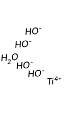 O.[OH-].[OH-].[OH-].[OH-].[Ti+4]